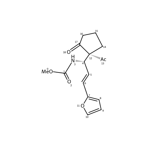 COC(=O)N[C@@H](/C=C/c1ccco1)[C@]1(C(C)=O)CCCC1=O